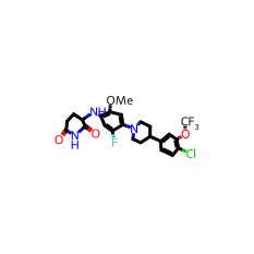 COc1cc(N2CCC(c3ccc(Cl)c(OC(F)(F)F)c3)CC2)c(F)cc1NC1CCC(=O)NC1=O